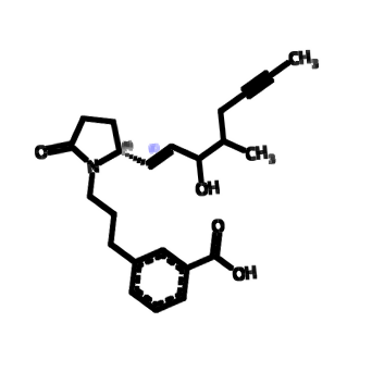 CC#CCC(C)C(O)/C=C/[C@H]1CCC(=O)N1CCCc1cccc(C(=O)O)c1